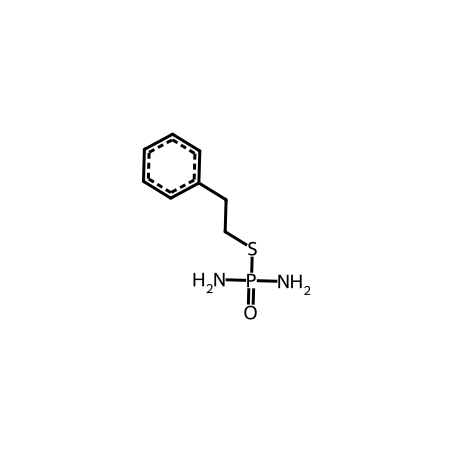 NP(N)(=O)SCCc1ccccc1